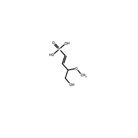 COC(/C=C/P(=O)(O)O)CO